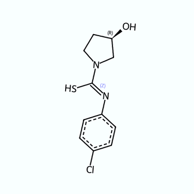 O[C@@H]1CCN(/C(S)=N/c2ccc(Cl)cc2)C1